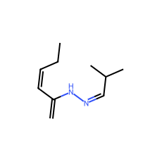 C=C(/C=C\CC)N/N=C\C(C)C